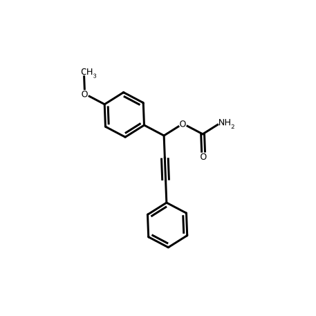 COc1ccc(C(C#Cc2ccccc2)OC(N)=O)cc1